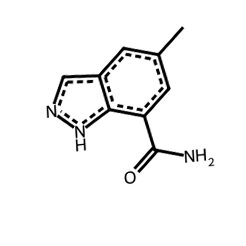 Cc1cc(C(N)=O)c2[nH]ncc2c1